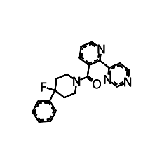 O=C(c1cccnc1-c1ccncn1)N1CCC(F)(c2ccccc2)CC1